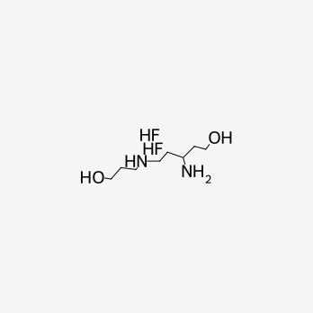 F.F.NC(CCO)CCNCCCO